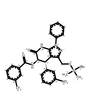 CC(C)(C)[Si](C)(C)OCc1nn(-c2ccccc2)c2c1[C@H](c1cccc([N+](=O)[O-])c1)[C@@H](NC(=O)c1cccc(C(F)(F)F)c1)C(=O)N2